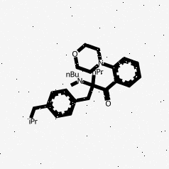 CCCCN(C)C(CCC)(Cc1ccc(CC(C)C)cc1)C(=O)c1ccccc1N1CCOCC1